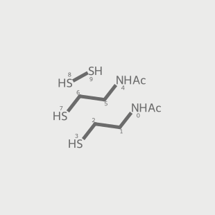 CC(=O)NCCS.CC(=O)NCCS.SS